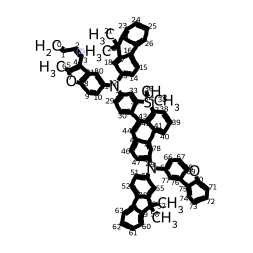 C=C/C=C\c1c(C)oc2ccc(N(c3ccc4c(c3)C(C)(C)c3ccccc3-4)c3ccc4c(c3)[Si](C)(C)c3cccc5c3c-4cc3ccc(N(c4ccc6c(c4)C(C)(C)c4ccccc4-6)c4ccc6oc7ccccc7c6c4)cc35)cc12